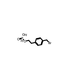 O=[PH](O)OCCc1ccc(CBr)cc1